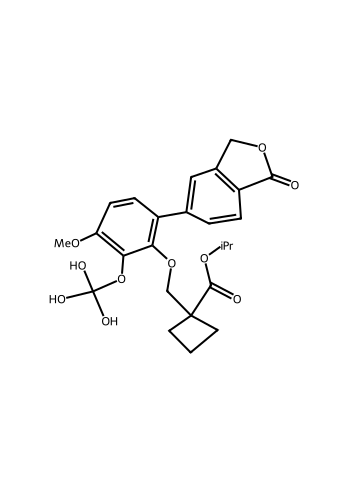 COc1ccc(-c2ccc3c(c2)COC3=O)c(OCC2(C(=O)OC(C)C)CCC2)c1OC(O)(O)O